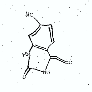 N#Cc1ccc2c(=O)[nH]c(=O)[nH]c2c1